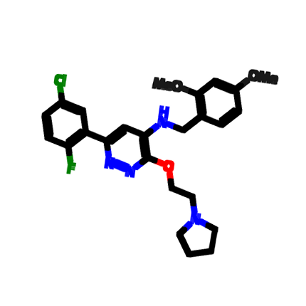 COc1ccc(CNc2cc(-c3cc(Cl)ccc3F)nnc2OCCN2CCCC2)c(OC)c1